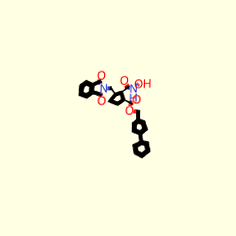 O=C(NO)[C@@H]1[C@H](CN2C(=O)c3ccccc3C2=O)CC[C@@H]1C(=O)OCc1ccc(-c2ccccc2)cc1